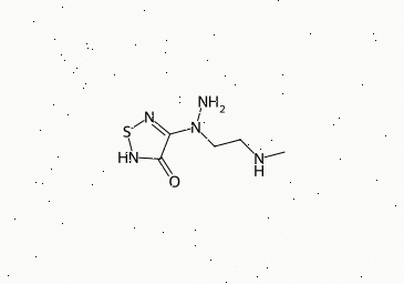 CNCCN(N)c1ns[nH]c1=O